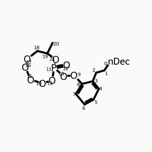 CCCCCCCCCCCCc1ccccc1OOP1(=O)OOOOOCC(C)O1